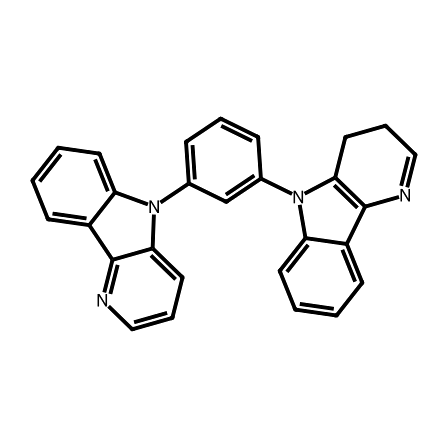 C1=Nc2c(n(-c3cccc(-n4c5ccccc5c5ncccc54)c3)c3ccccc23)CC1